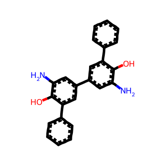 Nc1cc(-c2cc(N)c(O)c(-c3ccccc3)c2)cc(-c2ccccc2)c1O